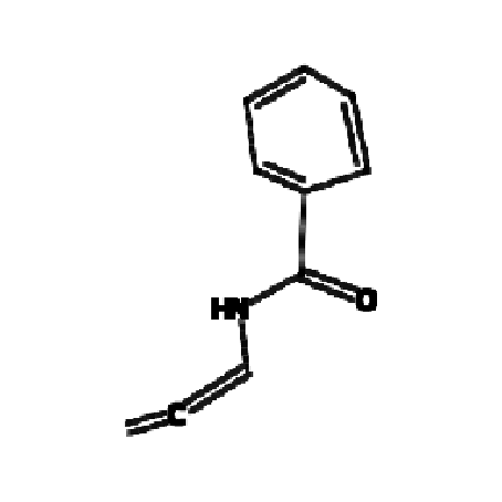 C=C=CNC(=O)c1ccccc1